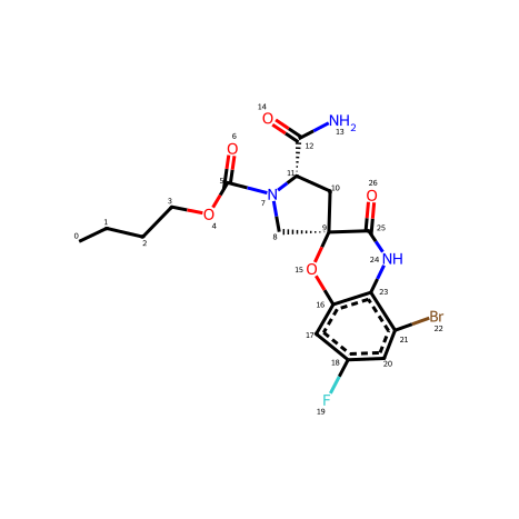 CCCCOC(=O)N1C[C@@]2(C[C@H]1C(N)=O)Oc1cc(F)cc(Br)c1NC2=O